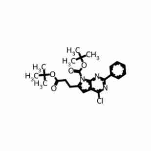 CC(C)(C)OC(=O)CCc1cc2c(Cl)nc(-c3ccccc3)nc2n1C(=O)OC(C)(C)C